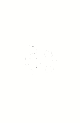 ClC1=CNC(Cl)(Nc2ccccc2)C(Cl)=C1Cl.c1ccc(Nc2ccccn2)cc1